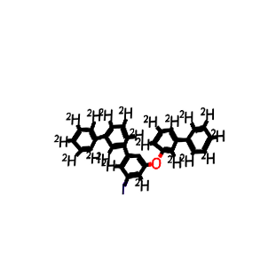 [2H]c1c([2H])c([2H])c(-c2c([2H])c([2H])c([2H])c(Oc3cc(-c4c([2H])c([2H])c([2H])c(-c5c([2H])c([2H])c([2H])c([2H])c5[2H])c4[2H])c([2H])c(I)c3[2H])c2[2H])c([2H])c1[2H]